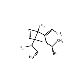 C=CN(C)C1(C)C=CC1(C)/C(=C/C)C[C@@H](C)C(C)C